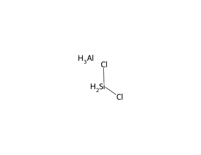 Cl[SiH2]Cl.[AlH3]